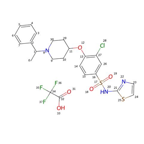 CC(c1ccccc1)N1CCC(Oc2ccc(S(=O)(=O)Nc3nccs3)cc2Cl)CC1.O=C(O)C(F)(F)F